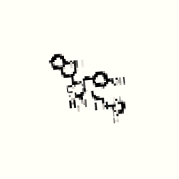 NC(=O)[C@@H](CCCNc1ncc[nH]1)N(Cc1ccc(O)cc1)C(=O)[C@@H]1CNc2ccccc2C1